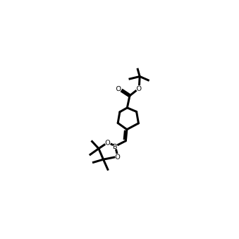 CC(C)(C)OC(=O)C1CCC(=CB2OC(C)(C)C(C)(C)O2)CC1